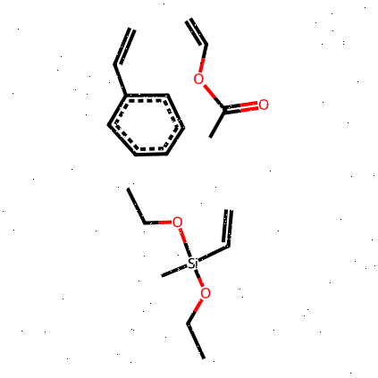 C=COC(C)=O.C=C[Si](C)(OCC)OCC.C=Cc1ccccc1